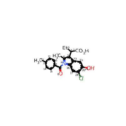 CCC(C(=O)O)c1c(C)n(C(=O)c2ccc(C)cc2)c2cc(Cl)c(O)cc12